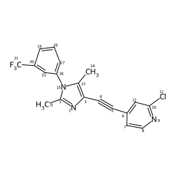 Cc1nc(C#Cc2ccnc(Cl)c2)c(C)n1-c1cccc(C(F)(F)F)c1